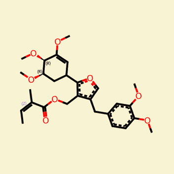 C/C=C(/C)C(=O)OCc1c(Cc2ccc(OC)c(OC)c2)coc1C1C=C(OC)[C@H](OC)[C@H](OC)C1